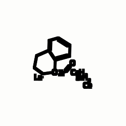 [CaH2].[Ce].[La].[O]=[Zr].[SrH2].c1ccc2c(c1)CCCO2